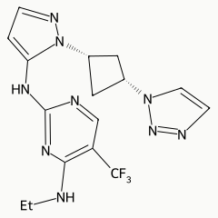 CCNc1nc(Nc2ccnn2[C@H]2C[C@@H](n3ccnn3)C2)ncc1C(F)(F)F